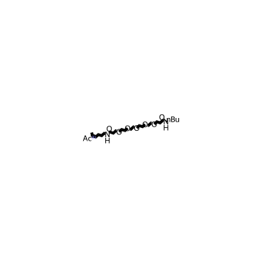 CCCCNC(=O)CCOCCOCCOCCOCCOCCC(=O)NCCC/C=C(\C)C(C)=O